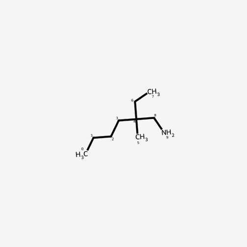 CCCCC(C)(CC)CN